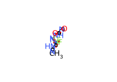 CN1CCC(Nc2cccc3c2cc(-c2nnc(CNC(=O)c4cccc(CN5CCOCC5)c4)s2)n3CC(F)(F)F)CC1